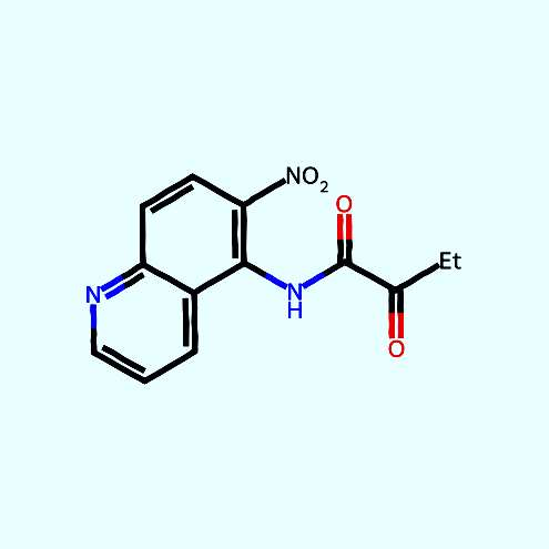 CCC(=O)C(=O)Nc1c([N+](=O)[O-])ccc2ncccc12